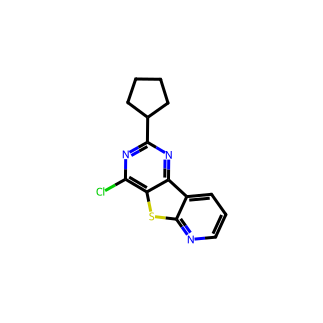 Clc1nc(C2CCCC2)nc2c1sc1ncccc12